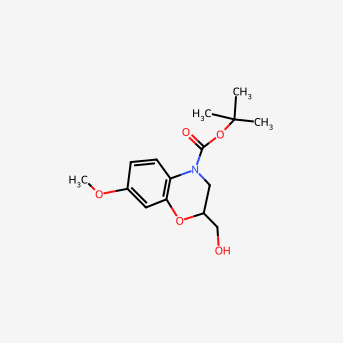 COc1ccc2c(c1)OC(CO)CN2C(=O)OC(C)(C)C